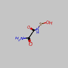 NC(=O)C(=O)NSO